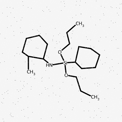 CCCO[Si](NC1CCCCC1C)(OCCC)C1CCCCC1